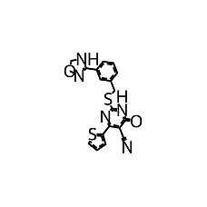 N#Cc1c(-c2cccs2)nc(SCc2cccc(C3=NOCN3)c2)[nH]c1=O